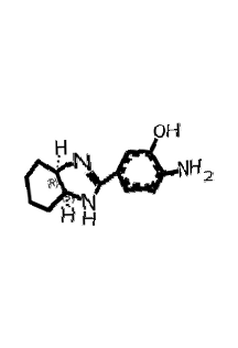 Nc1ccc(C2=N[C@@H]3CCCC[C@@H]3N2)cc1O